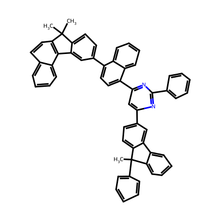 CC1(C)c2ccc(-c3ccc(-c4cc(-c5ccc6c(c5)-c5ccccc5C6(C)c5ccccc5)nc(-c5ccccc5)n4)c4ccccc34)cc2-c2c1ccc1ccccc21